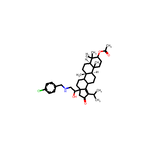 CC(=O)OC1CCC2(C)[C@H]3CCC4C5=C(C(C)C)C(=O)CC5(C(O)CNCc5ccc(Cl)cc5)CCC4[C@]3(C)CC[C@H]2C1(C)C